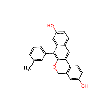 Cc1cccc(-c2c3c(cc4ccc(O)cc24)-c2ccc(O)cc2CO3)c1